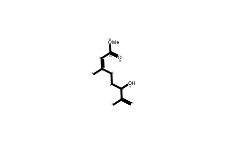 C=C(C)C(O)CCC(C)=CC(=O)OC